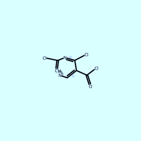 C=C(Cl)/N=C(Cl)\C(=C/N)C(=O)Cl